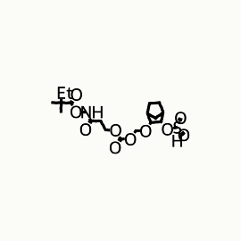 CCC(C)(C)C(=O)ONC(=O)CCOC(=O)OCOC1C2CCC(C2)C1O[SH](=O)=O